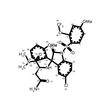 COc1ccc(S(=O)(=O)N2C(=O)C(N[C@@H](CC(N)=O)C(=O)N(C)C)(c3ccccc3OC)c3cc(Cl)ccc32)c(OC(F)(F)F)c1